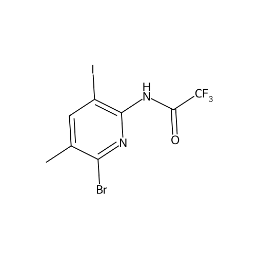 Cc1cc(I)c(NC(=O)C(F)(F)F)nc1Br